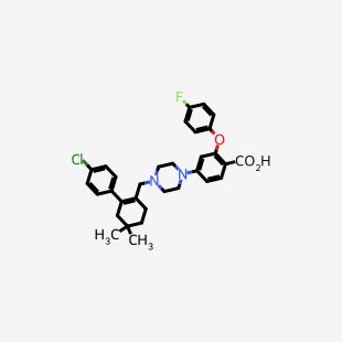 CC1(C)CCC(CN2CCN(c3ccc(C(=O)O)c(Oc4ccc(F)cc4)c3)CC2)=C(c2ccc(Cl)cc2)C1